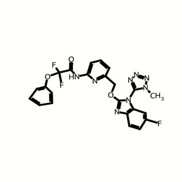 Cn1nnnc1-n1c(OCc2cccc(NC(=O)C(F)(F)Oc3ccccc3)n2)nc2ccc(F)cc21